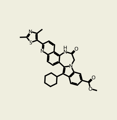 COC(=O)c1ccc2c(C3CCCCC3)c3n(c2c1)CC(=O)Nc1c-3ccc2nc(-c3sc(C)nc3C)ccc12